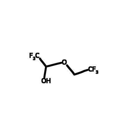 OC(OCC(F)(F)F)C(F)(F)F